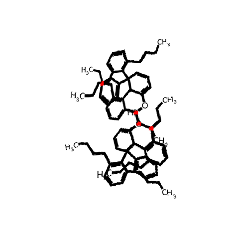 CCCCc1cccc(CCCC)c1C1C(OPOC2=CC=CC(c3ccccc3)(c3c(CCCC)cccc3CCCC)C2c2c(CCCC)cccc2CCCC)=CC=CC1(c1ccccc1)c1c(CCCC)cccc1CCCC